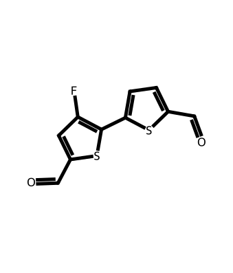 O=Cc1ccc(-c2sc(C=O)cc2F)s1